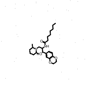 CCCCCCCC(=O)NC(CN1C(C)CCCC1C)C(O)c1ccc2c(c1)OCCO2